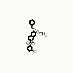 COc1cc2c(cc1OCc1ccccc1)CCN(S(=O)(=O)c1cccc(Cl)c1)C2